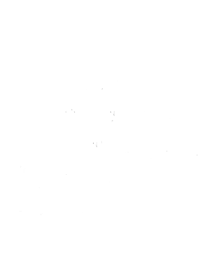 COC(=O)c1cnc(N(C)Cc2c(F)ccc(F)c2F)n1-c1ccc(F)cc1